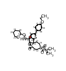 CCOc1ccc(-c2ccc(C3(CC(=O)NOC4CCCCO4)CCN(S(=O)(=O)N(C)C)CCS3(=O)=O)s2)cc1